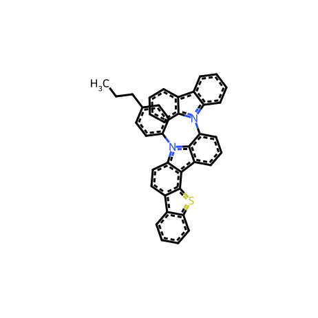 CCCc1ccc(-n2c3ccc4c5ccccc5sc4c3c3cccc(-n4c5ccccc5c5ccccc54)c32)cc1